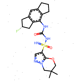 CC1(C)COc2c([S@](=N)(=O)NC(=O)Nc3c4c(cc5c3C[C@H](F)C5)CCC4)cnn2C1